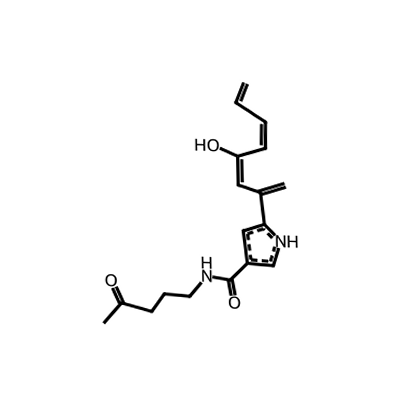 C=C/C=C\C(O)=C/C(=C)c1cc(C(=O)NCCCC(C)=O)c[nH]1